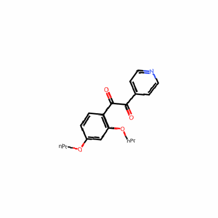 CCCOc1ccc(C(=O)C(=O)c2ccncc2)c(OCCC)c1